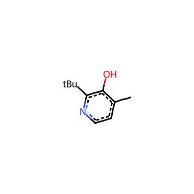 Cc1ccnc(C(C)(C)C)c1O